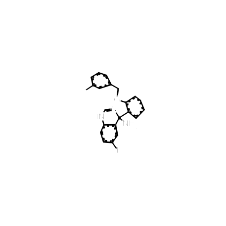 NC1(c2ccccc2OCc2cccc(F)c2)N=CNc2ccc(I)cc21